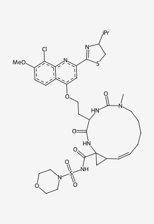 COc1ccc2c(OCCC3NC(=O)N(C)CCCC/C=C\C4CC4(C(=O)NS(=O)(=O)N4CCOCC4)NC3=O)cc(C3=NC(C(C)C)CS3)nc2c1Cl